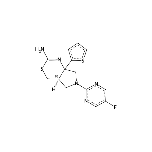 NC1=NC2(c3cccs3)CN(c3ncc(F)cn3)C[C@H]2CS1